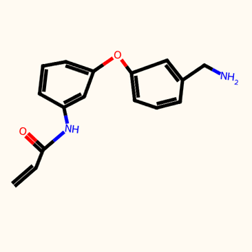 C=CC(=O)Nc1cccc(Oc2cccc(CN)c2)c1